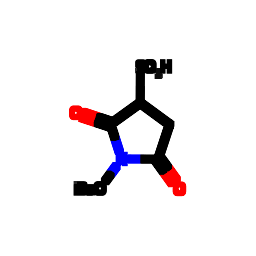 CC(C)CON1C(=O)CC(S(=O)(=O)O)C1=O